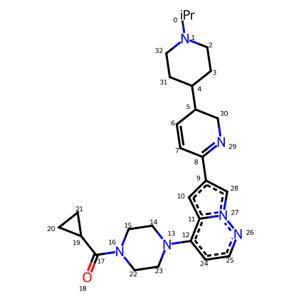 CC(C)N1CCC(C2C=CC(c3cc4c(N5CCN(C(=O)C6CC6)CC5)ccnn4c3)=NC2)CC1